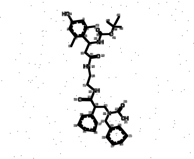 Cc1cc(O)cc(C)c1C(CC(=O)NCCNC(=O)C(CN(Cc1ccccc1)C(=O)O)c1ccccc1)NC(=O)OC(C)(C)C